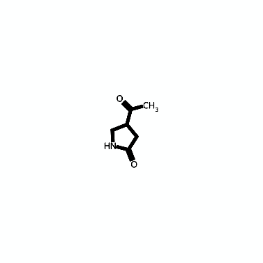 CC(=O)C1CNC(=O)C1